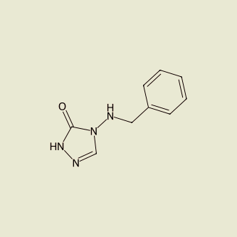 O=c1[nH]ncn1NCc1ccccc1